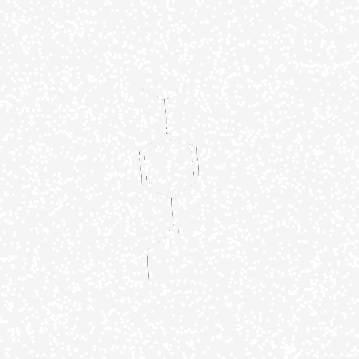 CCOc1ccc([C](F)F)cc1Cl